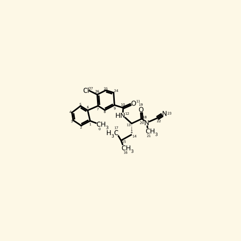 Cc1ccccc1-c1cc(C(=O)N[C@@H](CC(C)C)C(=O)N(C)C#N)ccc1Cl